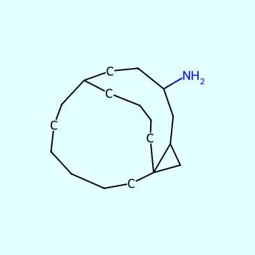 NC1CCC2CCCCCCC3(CCCC2)CC3C1